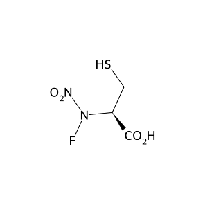 O=C(O)[C@H](CS)N(F)[N+](=O)[O-]